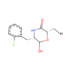 CC(C)C[C@@H]1OC(O)[C@H](Cc2ccccc2F)NC1=O